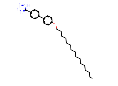 CCCCCCCCCCCCCCCCOc1ccc(-c2ccc(-c3nnn[nH]3)cc2)cc1